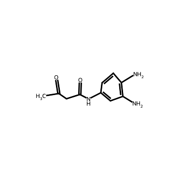 CC(=O)CC(=O)Nc1ccc(N)c(N)c1